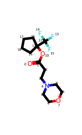 O=C(CCN1CCOCC1)OC1(C(F)(F)F)CCCC1